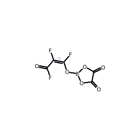 O=C1OB(O/C(F)=C(/F)C(=O)F)OC1=O